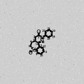 O=C1CC2CC[S+]([O-])c3ccccc3C2=NN1c1ccccc1